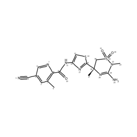 Cc1cc(C#N)cnc1C(=O)Nc1csc([C@]2(C)CS(=O)(=O)N(C)C(N)=N2)n1